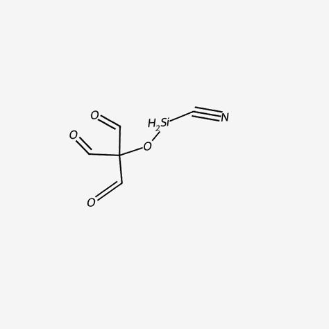 N#C[SiH2]OC(C=O)(C=O)C=O